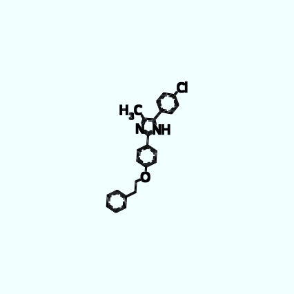 Cc1nc(-c2ccc(OCCc3ccccc3)cc2)[nH]c1-c1ccc(Cl)cc1